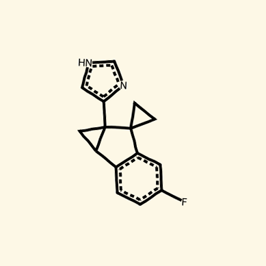 Fc1ccc2c(c1)C1(CC1)C1(c3c[nH]cn3)CC21